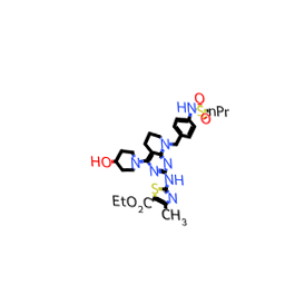 CCCS(=O)(=O)Nc1ccc(CN2CCCc3c(N4CCC(O)CC4)nc(Nc4nc(C)c(C(=O)OCC)s4)nc32)cc1